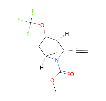 C#C[C@H]1[C@H]2C[C@H](C[C@@H]2OC(F)(F)F)N1C(=O)OC